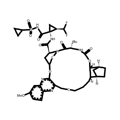 COc1ccc2nc3c(nc2c1)OC1C[C@@H](C(=O)N[C@]2(C(=O)NS(=O)(=O)C4CC4)C[C@H]2C(F)F)N(C1)C(=O)[C@H](C(C)(C)C)NC(=O)O[C@@H]1[C@H]2CC[C@H](C2)[C@H]1CCCCC3